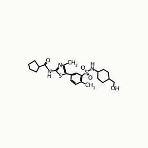 Cc1ccc(-c2sc(NC(=O)C3CCCC3)nc2C)cc1S(=O)(=O)NC1CCC(CO)CC1